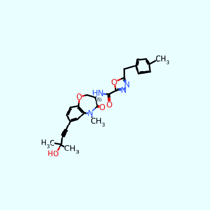 Cc1ccc(Cc2nnc(C(=O)N[C@H]3COc4ccc(C#CC(C)(C)O)cc4N(C)C3=O)o2)cc1